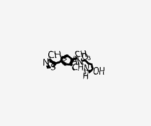 Cc1cc(-c2scnc2C)ccc1[C@H](C)NC(=O)C1CC(O)CN1